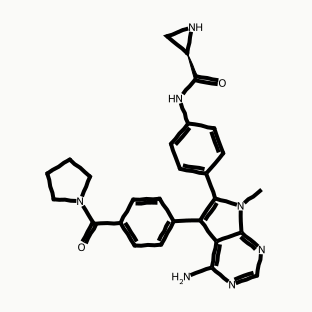 Cn1c(-c2ccc(NC(=O)[C@H]3CN3)cc2)c(-c2ccc(C(=O)N3CCCC3)cc2)c2c(N)ncnc21